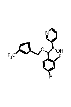 O[C@@H](c1cccnc1)[C@H](OCc1cccc(C(F)(F)F)c1)c1ccc(F)cc1F